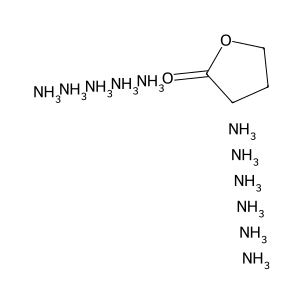 N.N.N.N.N.N.N.N.N.N.N.O=C1CCCO1